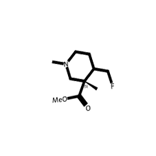 COC(=O)[C@]1(C)CN(C)CCC1CF